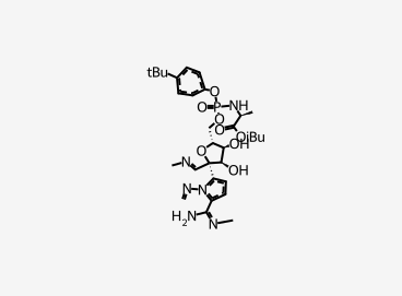 C=Nn1c(/C(N)=N\C)ccc1[C@]1(C=NC)O[C@H](COP(=O)(N[C@@H](C)C(=O)OCC(C)C)Oc2ccc(C(C)(C)C)cc2)[C@@H](O)[C@H]1O